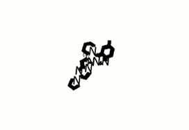 Cc1ccc2ncnc(N3CCCC[C@H]3c3cc4nc(N5CCCC5)ccn4n3)c2c1